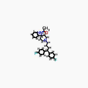 CC(=O)NC1(c2ccccc2)CCN(CCCC(c2ccc(F)cc2)c2ccc(F)cc2)CC1